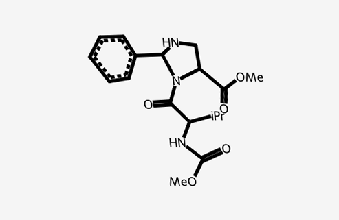 COC(=O)NC(C(=O)N1C(C(=O)OC)CNC1c1ccccc1)C(C)C